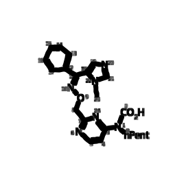 CCCCCN(C(=O)O)c1ccnc(CON=C(c2ccccc2)c2cncn2C)n1